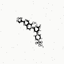 CC1c2cnc(-c3cnsn3)nc2CCN1c1cc(N2CCN(S(C)(=O)=O)CC2)cc(F)n1